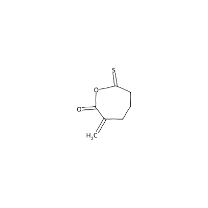 C=C1CCCC(=S)OC1=O